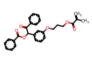 C=C(C)C(=O)OCCCOc1cccc(C(OC(=O)c2ccccc2)C(=O)c2ccccc2)c1